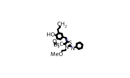 C=CCc1cc(/C=c2/s/c(=N\c3ccccc3)n(CCOC)c2=C)cc(OCC)c1O